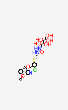 O=C(NCCCSc1ccc(Cl)c(COC2(c3cnccc3-c3ccccc3OC3CC3)CC2)c1)NCC(O)C(O)C(O)C(O)CO